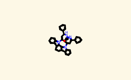 C1=CC(n2c3ccccc3c3ccc4c5ccccc5n(-c5ccnc(-c6ccccc6)c5)c4c32)=CC(c2ccccc2)N1